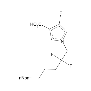 CCCCCCCCCCCCC(F)(F)Cn1cc(F)c(C(=O)O)c1